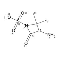 CC1(C)C(N)C(=O)N1S(=O)(=O)O